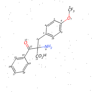 NC(Cc1ccc(OC(F)(F)F)cc1)(C(=O)O)C(=O)c1ccccc1